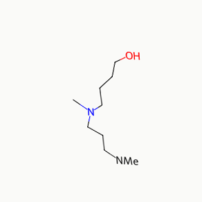 CNCCCN(C)CCCCO